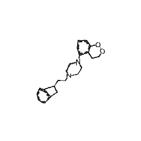 c1ccc2c(c1)C[C@@H]2CCN1CCN(c2cccc3c2CCOO3)CC1